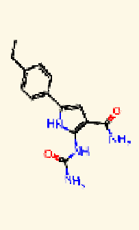 CCc1ccc(-c2cc(C(N)=O)c(NC(N)=O)[nH]2)cc1